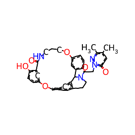 Cc1cc(=O)n(CC(=O)N2CCc3cc4ccc3C2c2cccc(c2)OCCCNC(=O)c2cc(ccc2O)O4)nc1C